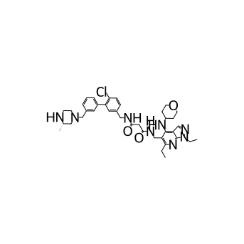 CCc1nc2c(cnn2CC)c(NC2CCOCC2)c1CNC(=O)CC(=O)NCc1ccc(Cl)c(-c2cccc(CN3CCN[C@@H](C)C3)c2)c1